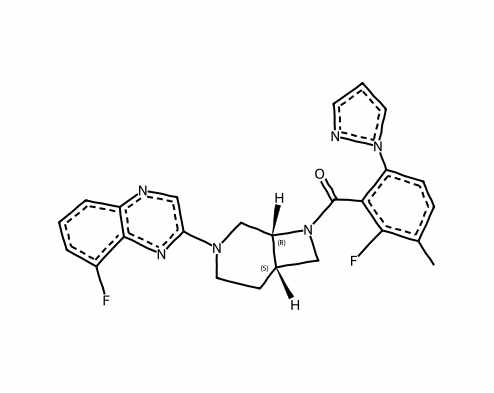 Cc1ccc(-n2cccn2)c(C(=O)N2C[C@@H]3CCN(c4cnc5cccc(F)c5n4)C[C@@H]32)c1F